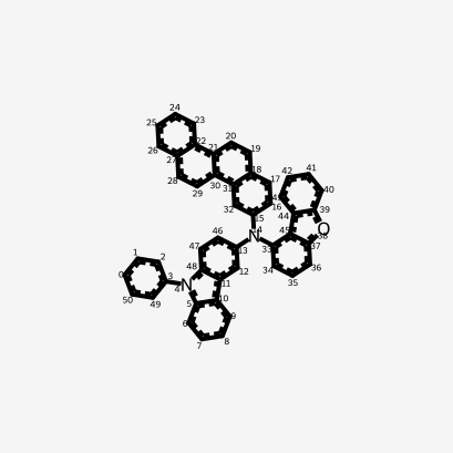 c1ccc(-n2c3ccccc3c3cc(N(c4ccc5ccc6c7ccccc7ccc6c5c4)c4cccc5oc6ccccc6c45)ccc32)cc1